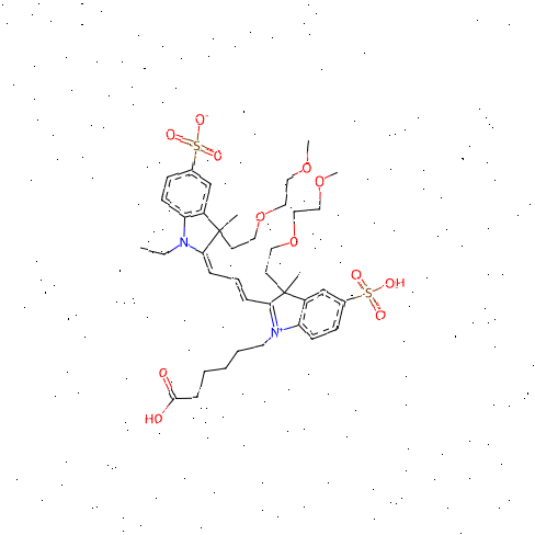 CCN1/C(=C/C=C/C2=[N+](CCCCCC(=O)O)c3ccc(S(=O)(=O)O)cc3C2(C)CCOCCOC)C(C)(CCOCCOC)c2cc(S(=O)(=O)[O-])ccc21